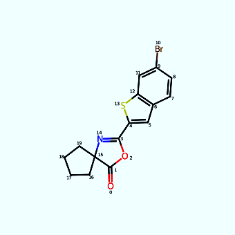 O=C1OC(c2cc3ccc(Br)cc3s2)=NC12CCCC2